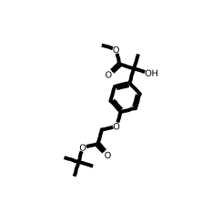 COC(=O)C(C)(O)c1ccc(OCC(=O)OC(C)(C)C)cc1